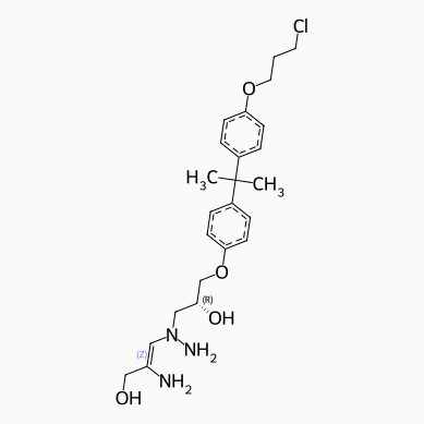 CC(C)(c1ccc(OCCCCl)cc1)c1ccc(OC[C@H](O)CN(N)/C=C(\N)CO)cc1